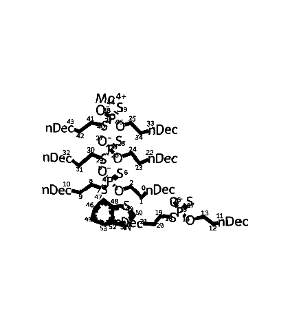 CCCCCCCCCCCCOP([O-])(=S)SCCCCCCCCCCCC.CCCCCCCCCCCCOP([O-])(=S)SCCCCCCCCCCCC.CCCCCCCCCCCCOP([O-])(=S)SCCCCCCCCCCCC.CCCCCCCCCCCCOP([O-])(=S)SCCCCCCCCCCCC.[Mo+4].c1ccc2scnc2c1